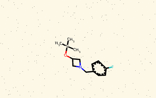 C[Si](C)(C)OC1CN(Cc2ccc(F)cc2)C1